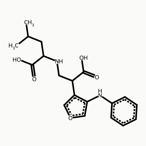 CC(C)CC(NCC(C(=O)O)c1cocc1Nc1ccccc1)C(=O)O